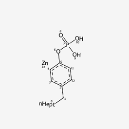 CCCCCCCCc1ccc(OP(=O)(O)O)cc1.[Zn]